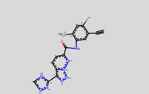 C#Cc1cc(NC(=O)c2ccc3c(-c4nnc[nH]4)nnn3n2)c(C(=O)O)cc1F